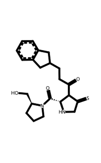 O=C(CCC1Cc2ccccc2C1)C1C(=S)CN[C@@H]1C(=O)N1CCC[C@H]1CO